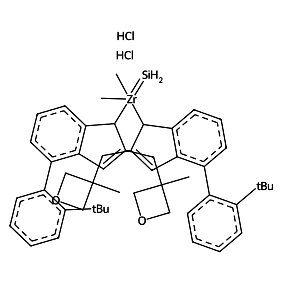 CC1(CC2=Cc3c(-c4ccccc4C(C)(C)C)cccc3[CH]2[Zr]([CH3])([CH3])(=[SiH2])[CH]2C(CC3(C)COC3)=Cc3c(-c4ccccc4C(C)(C)C)cccc32)COC1.Cl.Cl